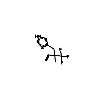 C=CC(C)(Cc1c[nH]cn1)C(F)(F)F